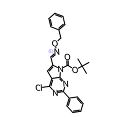 CC(C)(C)OC(=O)n1c(/C=N/OCc2ccccc2)cc2c(Cl)nc(-c3ccccc3)nc21